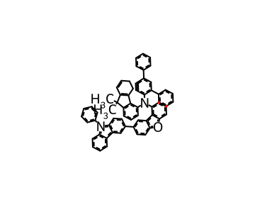 CC1(C)C2=C(CCC=C2)c2c(N(c3c#cc(-c4ccccc4)cc3-c3ccccc3)c3cccc4oc5ccc(-c6ccc7c(c6)c6ccccc6n7-c6ccccc6)cc5c34)cccc21